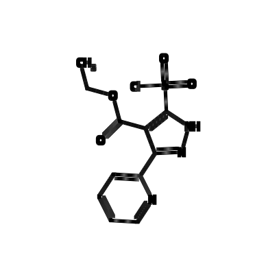 CCOC(=O)c1c(-c2ccccn2)n[nH]c1S(=O)(=O)Cl